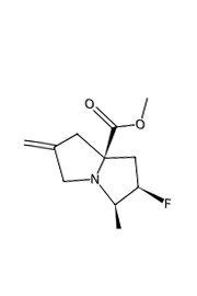 C=C1CN2[C@H](C)[C@H](F)C[C@@]2(C(=O)OC)C1